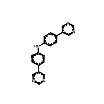 c1ncc(-c2ccc(Nc3ccc(-c4cncnc4)cc3)cc2)cn1